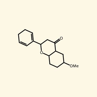 COC1CCC2OC(C3=CCCC=C3)CC(=O)C2C1